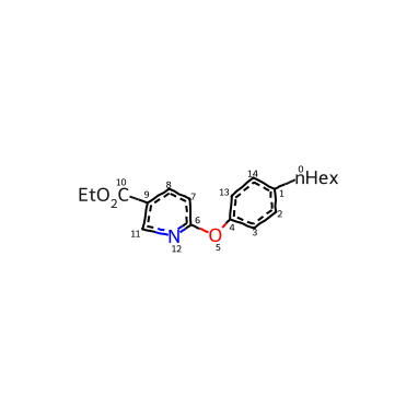 CCCCCCc1ccc(Oc2ccc(C(=O)OCC)cn2)cc1